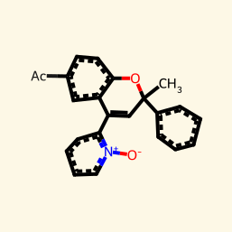 CC(=O)c1ccc2c(c1)C(c1cccc[n+]1[O-])=CC(C)(c1ccccc1)O2